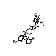 C[C@H](/C=C\S(C)(=O)=O)NC(=O)C1(F)CCN(S(=O)(=O)c2ccc(Br)cc2-c2cccc(Br)c2)CC1